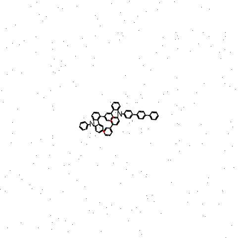 c1ccc(-c2ccc(-c3ccc(N(c4ccc(-c5ccccc5)cc4)c4ccccc4-c4cccc(-c5cccc6c5c5ccccc5n6-c5ccccc5)c4)cc3)cc2)cc1